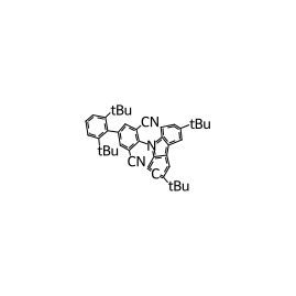 CC(C)(C)c1ccc2c(c1)c1cc(C(C)(C)C)ccc1n2-c1c(C#N)cc(-c2c(C(C)(C)C)cccc2C(C)(C)C)cc1C#N